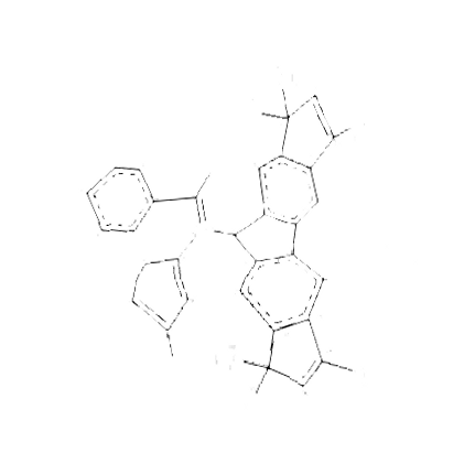 CC/[C](c1ccccc1)=[Zr+2](/[C]1=CC(C(C)(C)C)=CC1)[CH]1c2cc3c(cc2-c2cc4c(cc21)C(C)(C)C=C4C)C(C)=CC3(C)C.[Cl-].[Cl-]